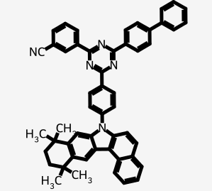 CC1(C)CCC(C)(C)c2cc3c(cc21)c1c2ccccc2ccc1n3-c1ccc(-c2nc(-c3ccc(-c4ccccc4)cc3)nc(-c3cccc(C#N)c3)n2)cc1